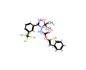 CC1(C)ON=C(c2cccc(C(F)(F)F)c2)N1NC(=O)Oc1cc2ccccc2s1